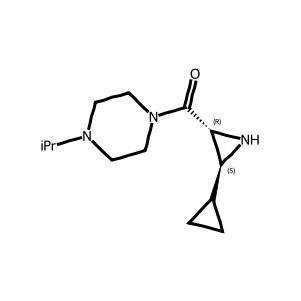 CC(C)N1CCN(C(=O)[C@@H]2N[C@H]2C2CC2)CC1